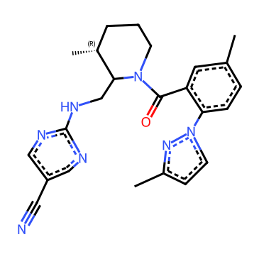 Cc1ccc(-n2ccc(C)n2)c(C(=O)N2CCC[C@@H](C)C2CNc2ncc(C#N)cn2)c1